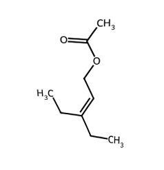 CCC(=CCOC(C)=O)CC